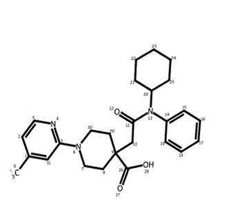 Cc1ccnc(N2CCC(CC(=O)N(c3ccccc3)C3CCCCC3)(C(=O)O)CC2)c1